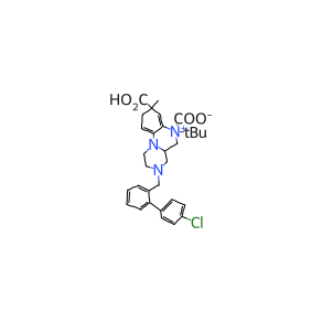 CC1(C(=O)O)C=C2C(=CC1)N1CCN(Cc3ccccc3-c3ccc(Cl)cc3)CC1C[N+]2(C(=O)[O-])C(C)(C)C